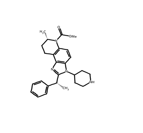 COC(=O)N1c2ccc3c(nc([C@H](C)c4ccccc4)n3C3CCNCC3)c2CC[C@@H]1C